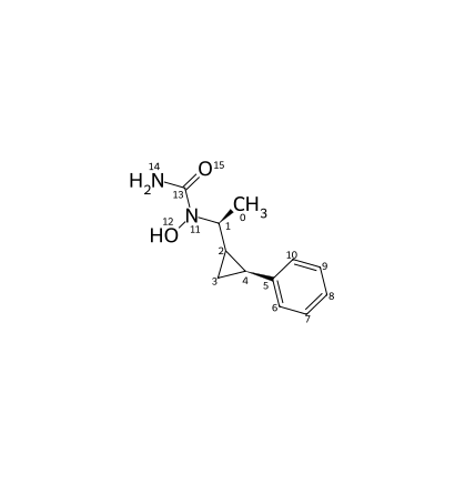 C[C@@H](C1C[C@@H]1c1ccccc1)N(O)C(N)=O